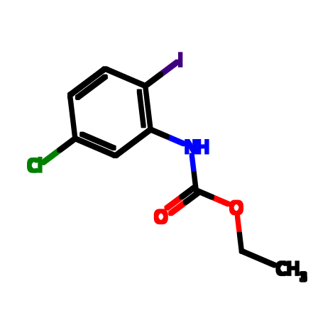 CCOC(=O)Nc1cc(Cl)ccc1I